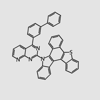 c1ccc(-c2cccc(-c3nc(-n4c5ccccc5c5c6c7ccccc7sc6c6ccccc6c54)nc4ncccc34)c2)cc1